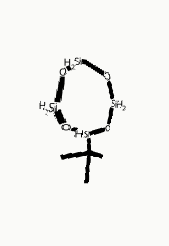 CC(C)(C)[SiH]1O[SiH2]O[SiH2]O[SiH2]O1